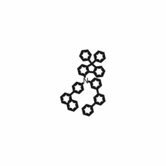 c1ccc(-c2cccc(-c3cccc(N(c4ccc(-c5cccc6ccccc56)cc4)c4cccc5c4-c4ccccc4C5(c4ccccc4)c4ccccc4)c3)c2)cc1